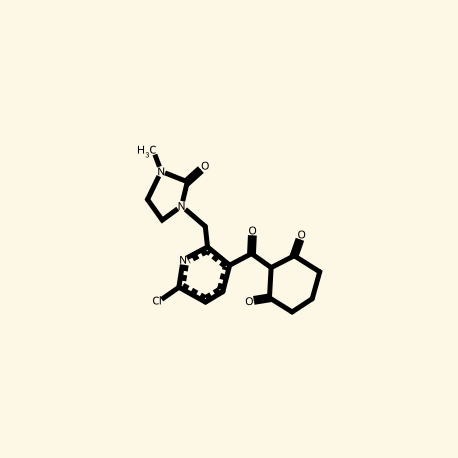 CN1CCN(Cc2nc(Cl)ccc2C(=O)C2C(=O)CCCC2=O)C1=O